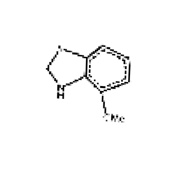 COc1cccc2c1NCS2